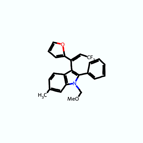 COCn1c(-c2ccccc2)c(/C(=C\C(F)(F)F)c2ccco2)c2ccc(C)cc21